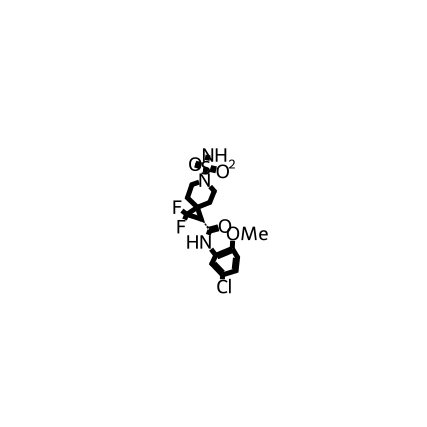 COc1ccc(Cl)cc1NC(=O)[C@@H]1C(F)(F)C12CCN(S(N)(=O)=O)CC2